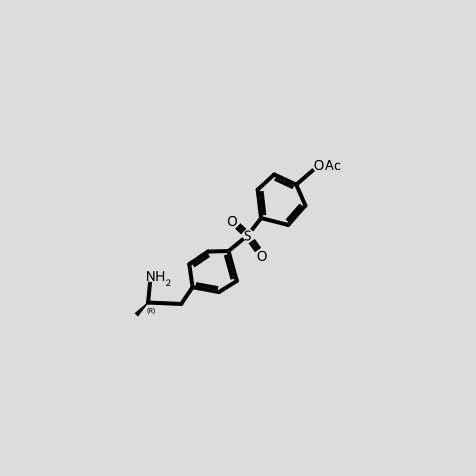 CC(=O)Oc1ccc(S(=O)(=O)c2ccc(C[C@@H](C)N)cc2)cc1